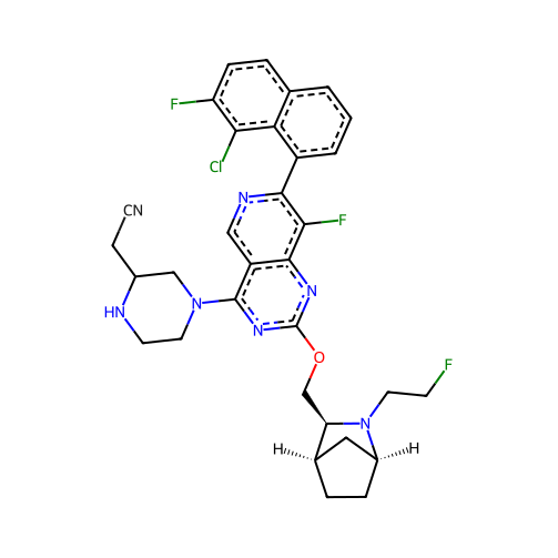 N#CCC1CN(c2nc(OC[C@@H]3[C@@H]4CC[C@@H](C4)N3CCF)nc3c(F)c(-c4cccc5ccc(F)c(Cl)c45)ncc23)CCN1